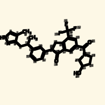 Cc1c[nH]nc1CC(C)c1cccc(N2Cc3c(cc(C(=O)N4CCC(O)C4)cc3C(F)(F)F)C2=O)c1